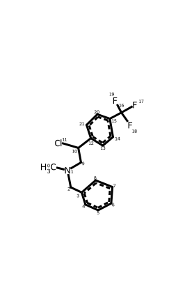 CN(Cc1ccccc1)CC(Cl)c1ccc(C(F)(F)F)cc1